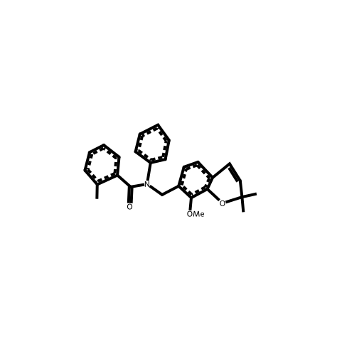 COc1c(CN(C(=O)c2ccccc2C)c2ccccc2)ccc2c1OC(C)(C)C=C2